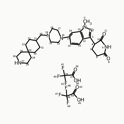 Cn1nc(C2CCC(=O)NC2=O)c2ccc(N3CCN(CC4CCC5(CCNCC5)CC4)CC3)cc21.O=C(O)C(F)(F)F.O=C(O)C(F)(F)F